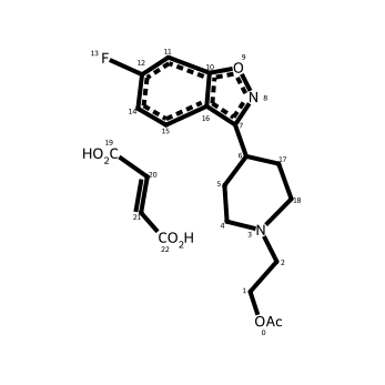 CC(=O)OCCN1CCC(c2noc3cc(F)ccc23)CC1.O=C(O)C=CC(=O)O